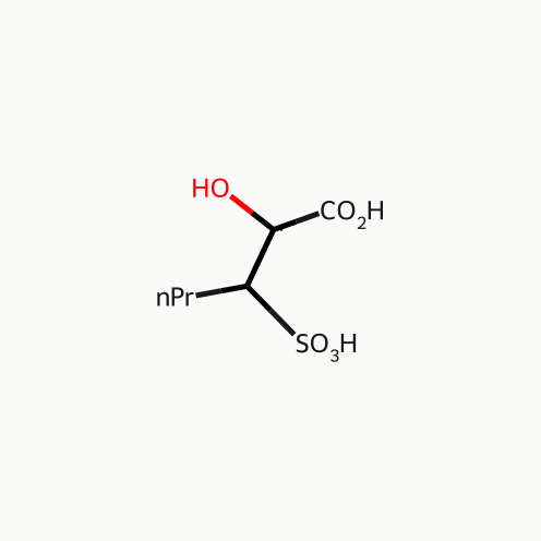 CCCC([C](O)C(=O)O)S(=O)(=O)O